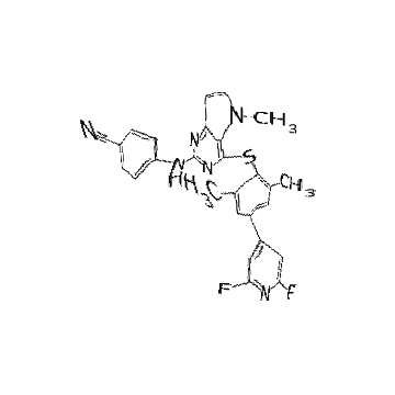 Cc1cc(-c2cc(F)nc(F)c2)cc(C)c1Sc1nc(Nc2ccc(C#N)cc2)nc2ccn(C)c12